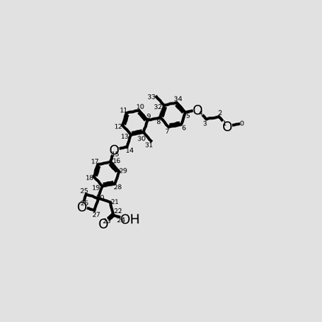 COCCOc1ccc(-c2cccc(COc3ccc(C4(CC(=O)O)COC4)cc3)c2C)c(C)c1